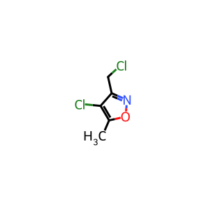 Cc1onc(CCl)c1Cl